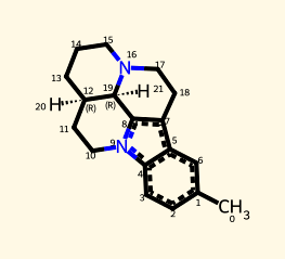 Cc1ccc2c(c1)c1c3n2CC[C@H]2CCCN(CC1)[C@@H]32